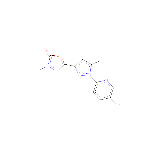 Cn1nc(-c2cc(C(F)(F)F)n(-c3ccc(C#N)cn3)n2)oc1=O